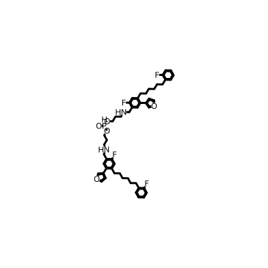 O=[PH](OCCCNCc1cc(-c2ccoc2)c(CCCCCCc2ccccc2F)cc1F)OCCCNCc1cc(-c2ccoc2)c(CCCCCCc2ccccc2F)cc1F